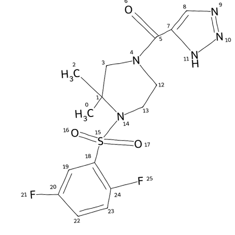 CC1(C)CN(C(=O)c2cnn[nH]2)CCN1S(=O)(=O)c1cc(F)ccc1F